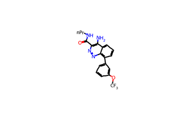 CCCNC(=O)c1nnc2c(-c3cccc(OC(F)(F)F)c3)cccc2c1N